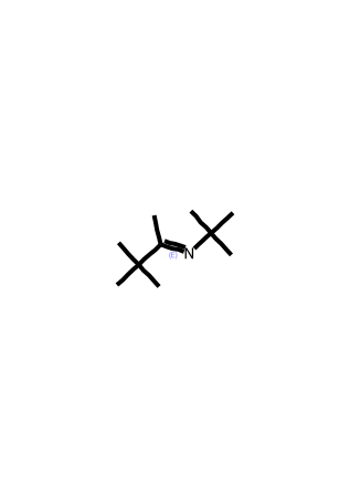 C/C(=N\C(C)(C)C)C(C)(C)C